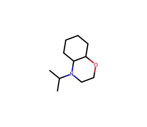 CC(C)N1CCOC2CCCCC21